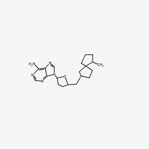 CN1CCCC12CCN(CC1CCC(n3cnc4c(N)ncnc43)O1)C2